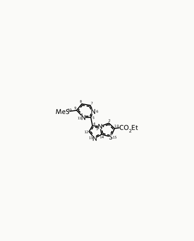 CCOC(=O)c1cn2c(-c3nccc(SC)n3)cnc2s1